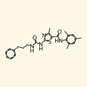 Cc1cc(C)c(NC(=O)c2sc(NC(=O)NCCCc3ccccc3)nc2C)c(C)c1